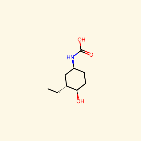 CC[C@@H]1C[C@@H](NC(=O)O)CC[C@H]1O